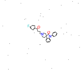 O=C(CCCN1CCC2(CC1)C(=O)N(c1ccccc1)c1ccccc12)c1ccc(F)cc1